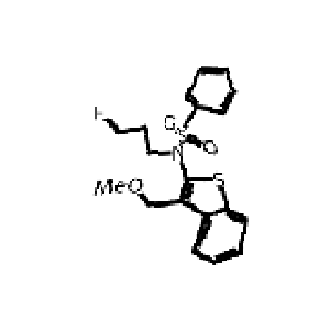 COCc1c(N(CCCF)S(=O)(=O)c2ccccc2)sc2ccccc12